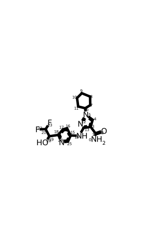 NC(=O)c1cn(C2CCCCC2)nc1Nc1ccc(C(O)C(F)F)nc1